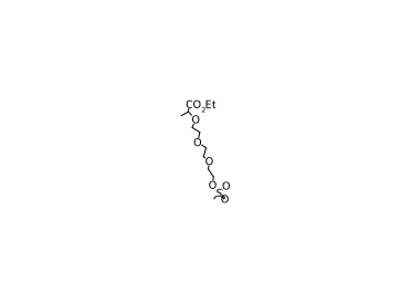 CCOC(=O)C(C)OCCOCCOCCOS(C)(=O)=O